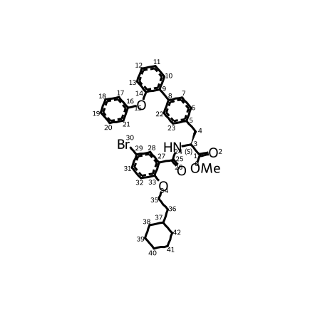 COC(=O)[C@H](Cc1ccc(-c2ccccc2Oc2ccccc2)cc1)NC(=O)c1cc(Br)ccc1OCCC1CCCCC1